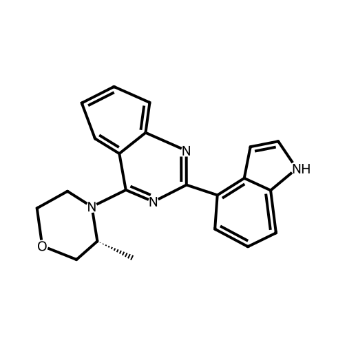 C[C@@H]1COCCN1c1nc(-c2cccc3[nH]ccc23)nc2ccccc12